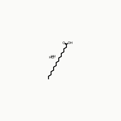 CCCCCCCCCCCCCCCC(=O)O.Cl.[HH]